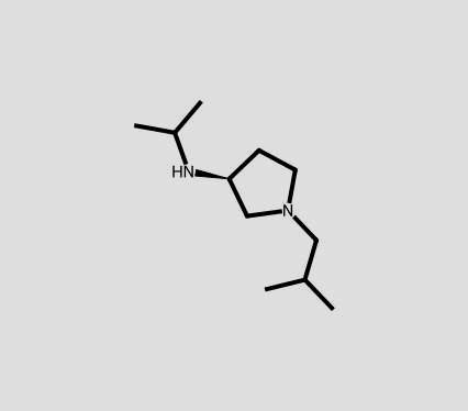 CC(C)CN1CC[C@H](NC(C)C)C1